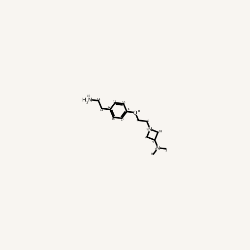 CN(C)C1CN(CCOc2ccc(CCN)cc2)C1